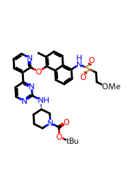 COCCS(=O)(=O)Nc1cccc2c(Oc3ncccc3-c3ccnc(N[C@H]4CCCN(C(=O)OC(C)(C)C)C4)n3)c(C)ccc12